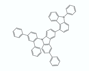 c1ccc(-c2ccc(-n3c4ccc(-c5ccccc5)cc4c4cc(-c5cccc6c5c5ccccc5n6-c5ccccc5)ccc43)c(-c3ccccc3)c2)cc1